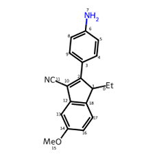 CCC1C(c2ccc(N)cc2)=C(C#N)c2cc(OC)ccc21